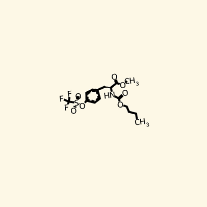 CCCCOC(=O)N[C@@H](Cc1ccc(OS(=O)(=O)C(F)(F)F)cc1)C(=O)OC